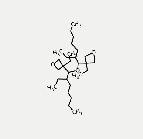 CCCCCC(CC)C(OC(C(CC)CCCCC)C1(CC)COC1)C1(CC)COC1